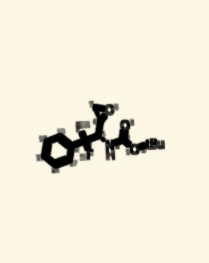 CC(C)(C)OC(=O)N[C@@H]([C@H]1CO1)C(F)(F)c1ccccc1